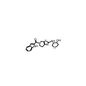 O=C(c1cc2ccccc2[nH]1)N1CCc2nc(N[C@H]3COCC[C@@H]3O)sc2C1